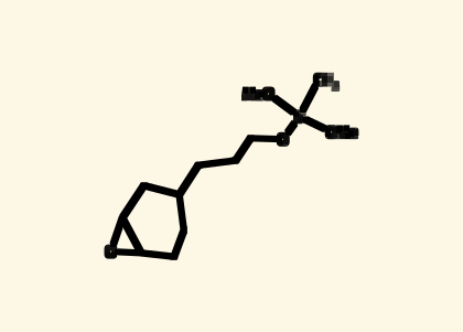 CO[Si](C)(OC)OCCCC1CCC2OC2C1